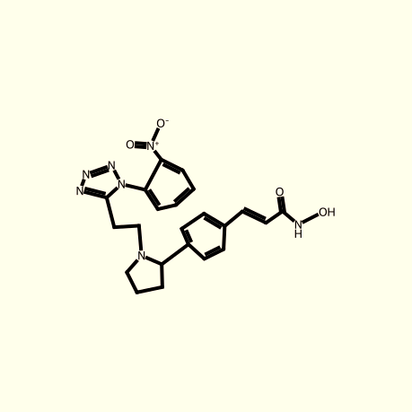 O=C(C=Cc1ccc(C2CCCN2CCc2nnnn2-c2ccccc2[N+](=O)[O-])cc1)NO